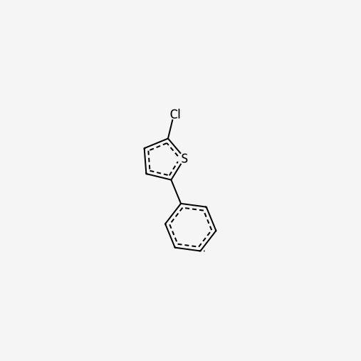 Clc1ccc(-c2cc[c]cc2)s1